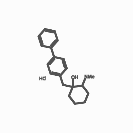 CNC1CCCCC1(O)Cc1ccc(-c2ccccc2)cc1.Cl